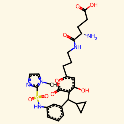 Cn1ccnc1S(=O)(=O)Nc1cccc(C(c2c(O)cc(CCCNC(=O)[C@@H](N)CCC(=O)O)oc2=O)C2CC2)c1